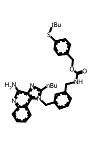 CCCCc1nc2c(N)nc3ccccc3c2n1Cc1cccc(CNC(=O)OCc2ccc(SC(C)(C)C)cc2)c1